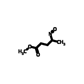 COC(=O)CCC(C)N=O